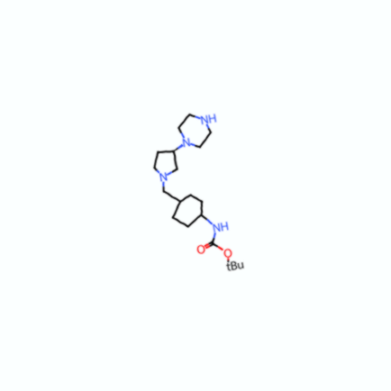 CC(C)(C)OC(=O)NC1CCC(CN2CC[C@@H](N3CCNCC3)C2)CC1